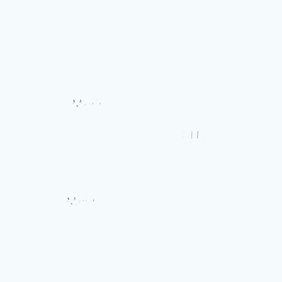 COC1=CCC(C)=CC(OC)=C1